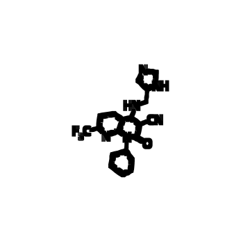 N#Cc1c(NCc2cnc[nH]2)c2ccc(C(F)(F)F)nc2n(-c2ccccc2)c1=O